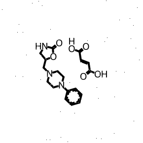 O=C(O)C=CC(=O)O.O=C1NCC(CN2CCN(c3ccccc3)CC2)O1